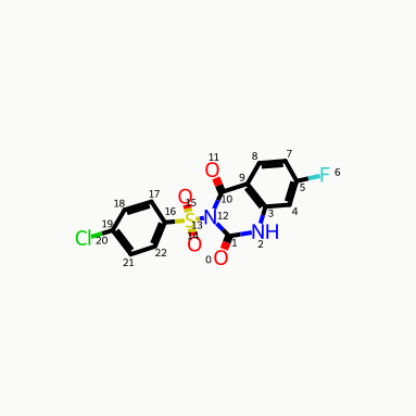 O=c1[nH]c2cc(F)ccc2c(=O)n1S(=O)(=O)c1ccc(Cl)cc1